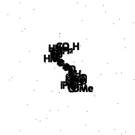 COC(=O)N[C@H](C(=O)N1CC2(CCS(=O)(=O)CC2)CC1C(=O)NCC(=O)c1ccc(-c2ccc(-c3c[nH]c([C@@H]4CCCN4C(=O)[C@@H](NC(=O)O)C(C)C)n3)cc2)cc1)C(C)C